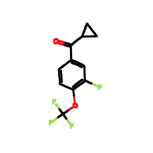 O=C(c1ccc(OC(F)(F)F)c(F)c1)C1CC1